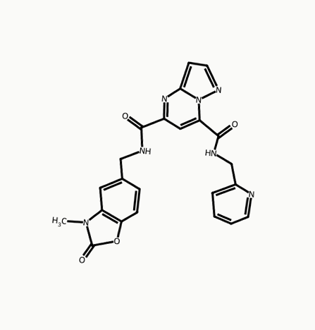 Cn1c(=O)oc2ccc(CNC(=O)c3cc(C(=O)NCc4ccccn4)n4nccc4n3)cc21